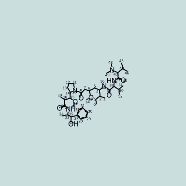 CCC(C)C(CC(CC(=O)N1CCCC1C(OC)C(C)C(=O)NC(C)C(O)c1ccccc1)OC)N(C)C(=O)[C@@H](NC(=O)C(C(C)C)N(C)C)C(C)C